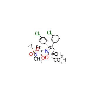 CCC(C(=O)N(C)S(=O)(=O)C1CC1)N1C(=O)[C@@](C)(CC(=O)O)CC(c2cccc(Cl)c2)[C@H]1c1ccc(Cl)cc1